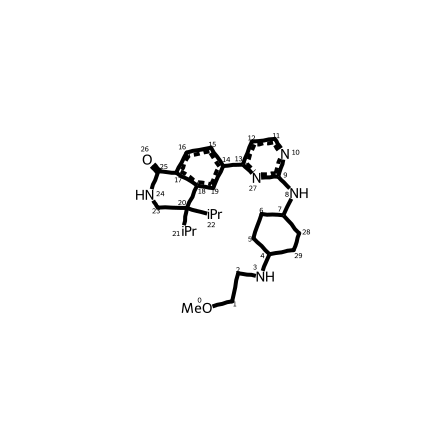 COCCNC1CCC(Nc2nccc(-c3ccc4c(c3)C(C(C)C)(C(C)C)CNC4=O)n2)CC1